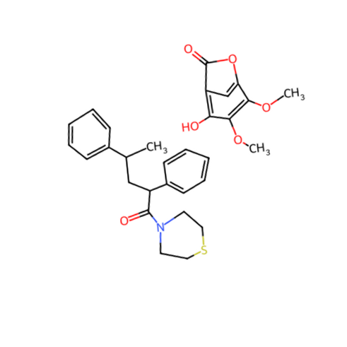 CC(CC(C(=O)N1CCSCC1)c1ccccc1)c1ccccc1.COc1c2cc(c(O)c1OC)C(=O)O2